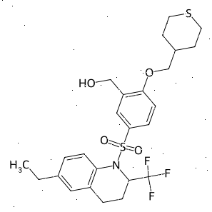 CCc1ccc2c(c1)CCC(C(F)(F)F)N2S(=O)(=O)c1ccc(OCC2CCSCC2)c(CO)c1